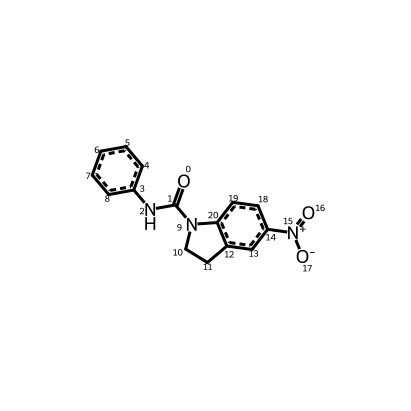 O=C(Nc1ccccc1)N1CCc2cc([N+](=O)[O-])ccc21